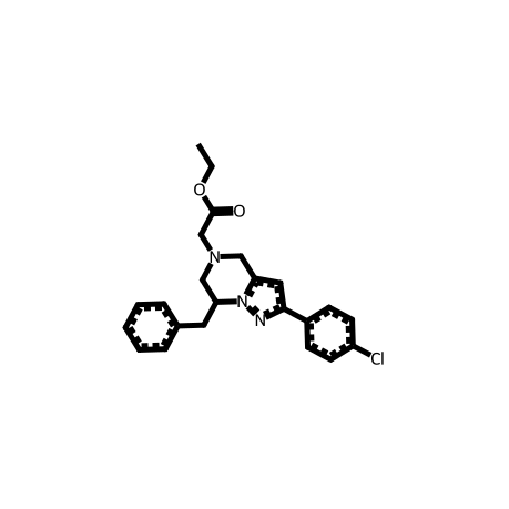 CCOC(=O)CN1Cc2cc(-c3ccc(Cl)cc3)nn2C(Cc2ccccc2)C1